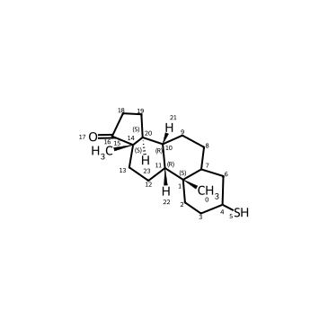 C[C@]12CCC(S)CC1CC[C@@H]1[C@H]2CC[C@]2(C)C(=O)CC[C@@H]12